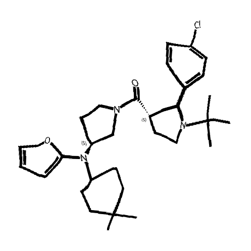 CC1(C)CCC(N(c2ccco2)[C@H]2CCN(C(=O)[C@H]3CCN(C(C)(C)C)C3c3ccc(Cl)cc3)C2)CC1